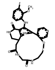 COc1c(F)cccc1Nc1c2[nH]c3c1C(=O)NCC3CC(=O)NCC(=O)NCCCOc1cnccc1-2